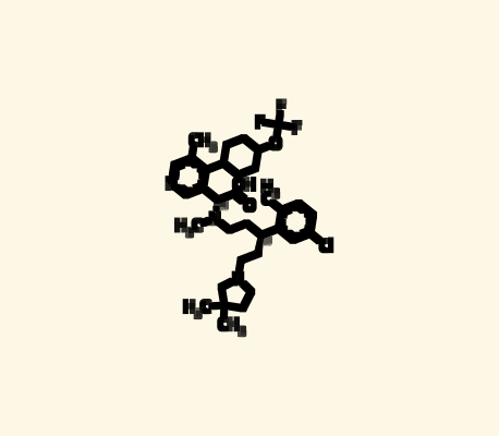 Cc1ccc(Cl)cc1[C@@H](CCN1CCC(C)(C)C1)CCN(C)[C@@H](C(=O)O)c1cncc(C)c1C1CCC(OC(F)(F)F)CC1